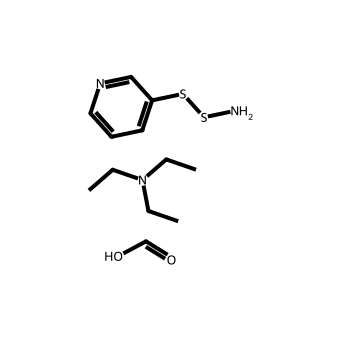 CCN(CC)CC.NSSc1cccnc1.O=CO